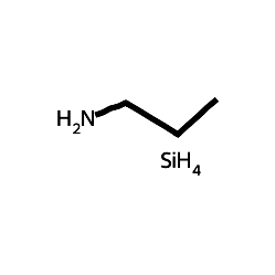 CCCN.[SiH4]